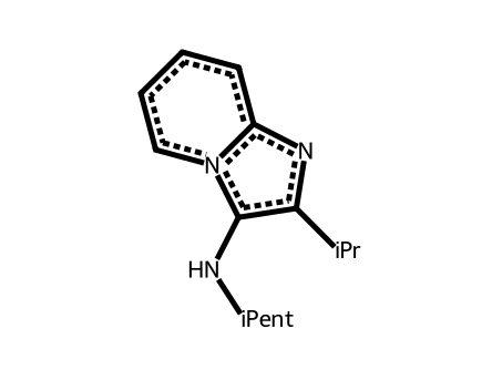 CCCC(C)Nc1c(C(C)C)nc2ccccn12